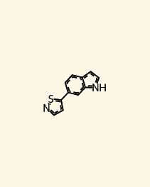 c1cc(-c2ccc3cc[nH]c3c2)sn1